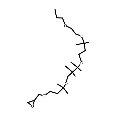 CCCOCCOC(C)(C)CCOC(C)(C)C(C)(C)COC(C)(C)CCOCC1CO1